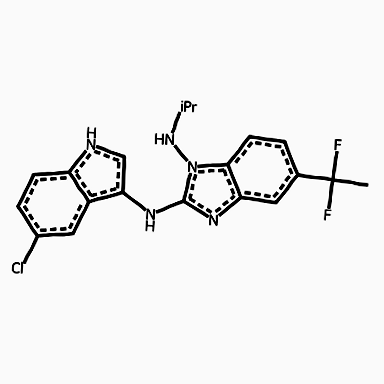 CC(C)Nn1c(Nc2c[nH]c3ccc(Cl)cc23)nc2cc(C(C)(F)F)ccc21